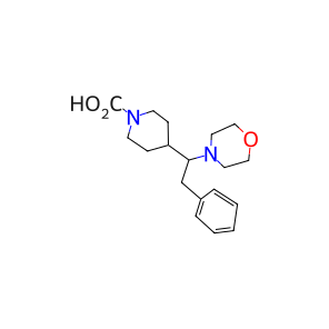 O=C(O)N1CCC(C(Cc2ccccc2)N2CCOCC2)CC1